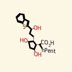 CCCCCC(C(=O)O)[C@H]1[C@@H](CC[C@@H](O)c2cc3ccccc3s2)[C@H](O)C[C@@H]1O